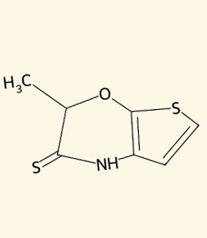 CC1Oc2sccc2NC1=S